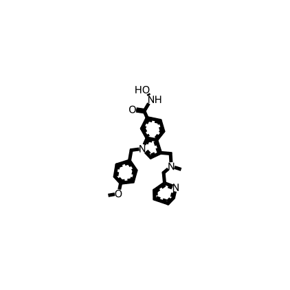 COc1ccc(Cn2cc(CN(C)Cc3ccccn3)c3ccc(C(=O)NO)cc32)cc1